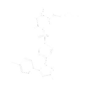 CC(=O)OCO/N=[N+](\[O-])N(C)[C@H](C(=O)NS(=O)(=O)c1ccc(-n2nc(C(F)(F)F)cc2-c2ccc(C)cc2)cc1)C(C)C